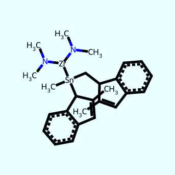 CC1=Cc2ccccc2C1[CH2][Sn]([CH3])([CH]1C(C)=Cc2ccccc21)[Zr]([N](C)C)[N](C)C